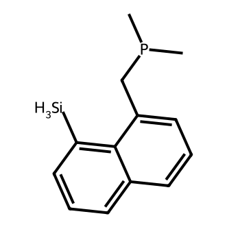 CP(C)Cc1cccc2cccc([SiH3])c12